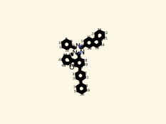 C=N/C(=N\C(=N/Cc1ccccc1)c1ccc2c(ccc3ccccc32)c1)c1ccc(-c2ccc(-c3ccccc3)cc2)c2oc3ccccc3c12